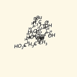 CC1=C[C@H]2[C@]3(O)[C@H](C)[C@@H](O)[C@@]4(O)[C@H]([C@@H]3C=C(CO)C[C@@]2(O)C1=O)C4(C)C.CCCCC=CCCCCCCCC(=O)O